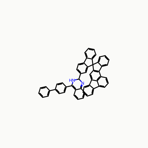 c1ccc(-c2ccc(C3=c4ccccc4=NC(c4ccc5c(c4)C4(c6ccccc6-5)c5ccccc5-c5c4cc4c6c(cccc56)-c5ccccc5-4)N3)cc2)cc1